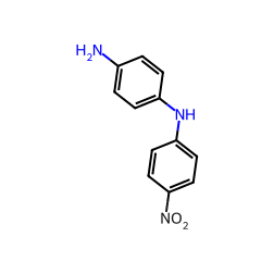 Nc1ccc(Nc2ccc([N+](=O)[O-])cc2)cc1